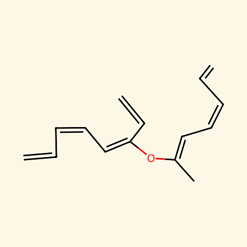 C=C/C=C\C=C(/C)O/C(C=C)=C/C=C\C=C